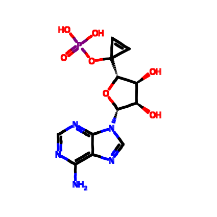 Nc1ncnc2c1ncn2[C@@H]1O[C@H](C2(OP(=O)(O)O)C=C2)[C@@H](O)[C@H]1O